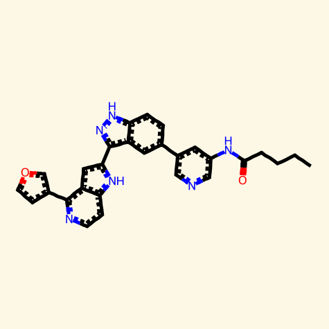 CCCCC(=O)Nc1cncc(-c2ccc3[nH]nc(-c4cc5c(-c6ccoc6)nccc5[nH]4)c3c2)c1